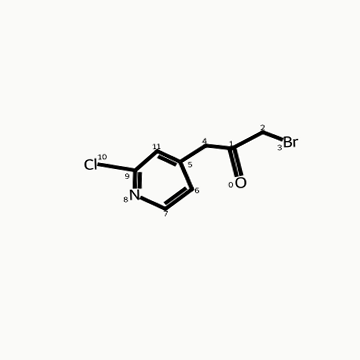 O=C(CBr)Cc1ccnc(Cl)c1